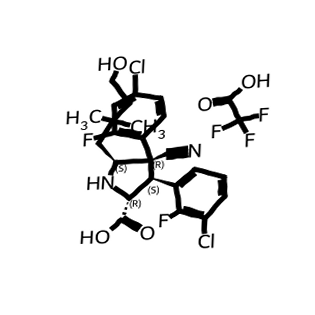 CC(C)(CCO)C[C@@H]1N[C@@H](C(=O)O)[C@H](c2cccc(Cl)c2F)[C@@]1(C#N)c1ccc(Cl)cc1F.O=C(O)C(F)(F)F